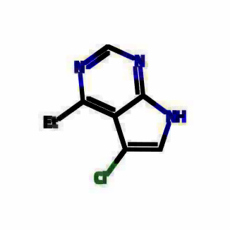 CCc1ncnc2[nH]cc(Cl)c12